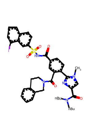 CCCCN(CCCC)C(=O)c1cn(C)c(-c2ccc(C(=O)NS(=O)(=O)c3ccc4cccc(I)c4c3)cc2C(=O)N2CCc3ccccc3C2)n1